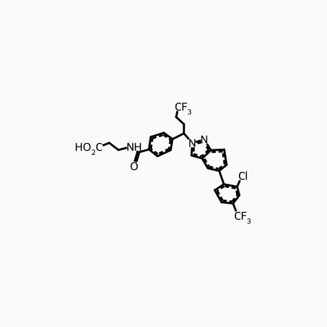 O=C(O)CCNC(=O)c1ccc(C(CCC(F)(F)F)n2cc3cc(-c4ccc(C(F)(F)F)cc4Cl)ccc3n2)cc1